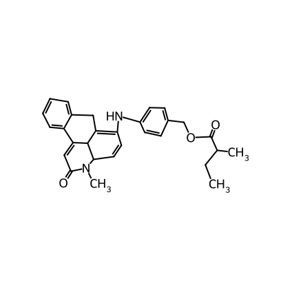 CCC(C)C(=O)OCc1ccc(NC2=C3Cc4ccccc4C4=CC(=O)N(C)C(C=C2)C43)cc1